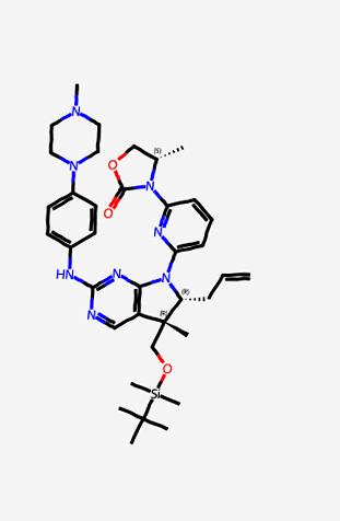 C=CC[C@H]1N(c2cccc(N3C(=O)OC[C@@H]3C)n2)c2nc(Nc3ccc(N4CCN(C)CC4)cc3)ncc2[C@@]1(C)CO[Si](C)(C)C(C)(C)C